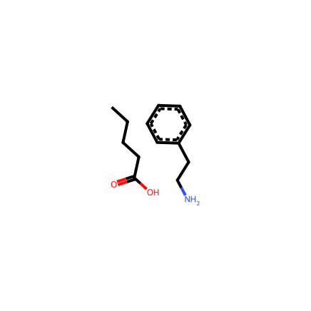 CCCCC(=O)O.NCCc1ccccc1